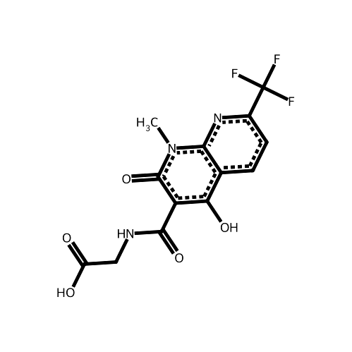 Cn1c(=O)c(C(=O)NCC(=O)O)c(O)c2ccc(C(F)(F)F)nc21